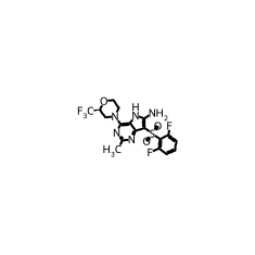 Cc1nc(N2CCO[C@H](C(F)(F)F)C2)c2[nH]c(N)c(S(=O)(=O)c3c(F)cccc3F)c2n1